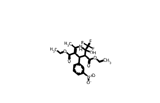 CCOC(=O)C1=C(C)NC(O)(C(F)(F)F)C(C(=O)OCC)C1c1cccc([N+](=O)[O-])c1